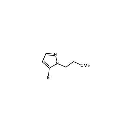 COCCn1nccc1Br